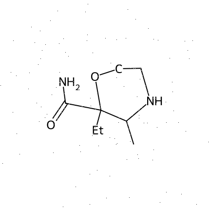 CCC1(C(N)=O)OCCNC1C